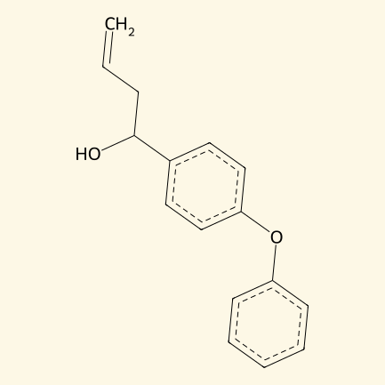 C=CCC(O)c1ccc(Oc2ccccc2)cc1